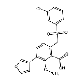 COc1c(-c2ccoc2)ccc(CS(=O)(=O)c2cccc(Cl)c2)c1C(=O)O